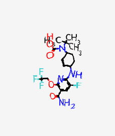 CC(C)(C)N(C(=O)O)C1CCC(Nc2nc(OCC(F)(F)F)c(C(N)=O)cc2F)CC1